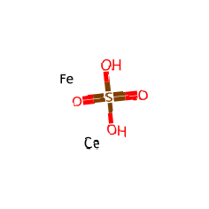 O=S(=O)(O)O.[Ce].[Fe]